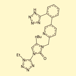 CCCCc1cn(-c2nnnn2CC)c(=O)n1Cc1ccc(-c2ccccc2-c2nnn[nH]2)cn1